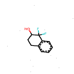 OC1CCc2ccccc2C1(F)F